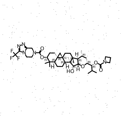 CC(C)[C@@H](OC(=O)N1CCC1)[C@H]1C[C@@H](C)[C@H]2[C@H](O1)[C@H](O)[C@@]1(C)[C@@H]3CC[C@H]4C(C)(C)[C@@H](OC(=O)N5CCn6c(nnc6C(F)(F)F)C5)CC[C@@]45C[C@@]35CC[C@]21C